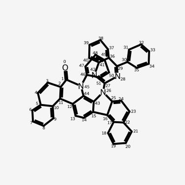 O=c1c2ccc3ccccc3c2c2ccc3c4c5ccccc5ccc4n(-c4nc(-c5ccccc5)c5ccccc5n4)c3c2n1-c1ccccc1